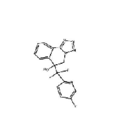 OC1(C(F)(F)c2ccc(Br)cn2)Cn2nnnc2-c2ccccc21